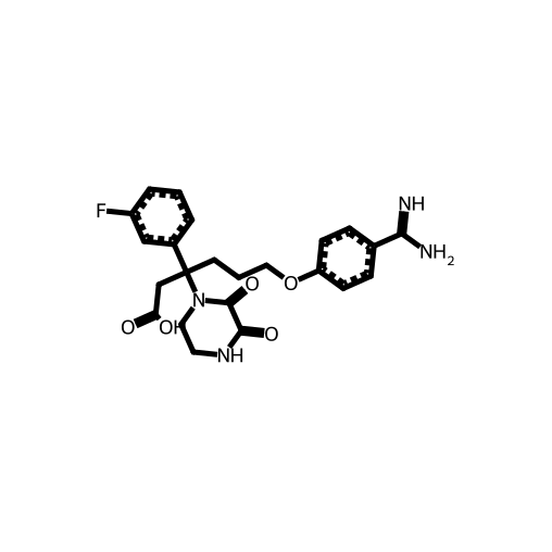 N=C(N)c1ccc(OCCCC(CC(=O)O)(c2cccc(F)c2)N2CCNC(=O)C2=O)cc1